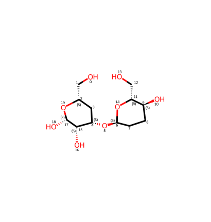 OC[C@@H]1C[C@H](O[C@@H]2CC[C@H](O)[C@@H](CO)O2)[C@H](O)[C@H](O)O1